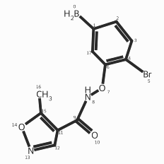 Bc1ccc(Br)c(ONC(=O)c2cnoc2C)c1